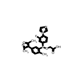 Cc1ccc(-c2c(C)noc2C)cc1N(OCC(=O)O)c1ccc(-n2ccnc2)c(F)c1